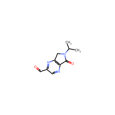 CC(C)N1Cc2nc(C=O)cnc2C1=O